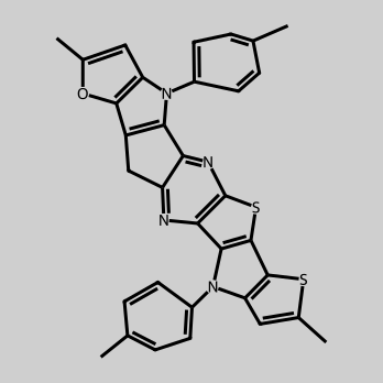 Cc1ccc(-n2c3c(c4oc(C)cc42)Cc2nc4c(nc2-3)sc2c3sc(C)cc3n(-c3ccc(C)cc3)c42)cc1